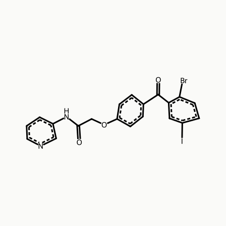 O=C(COc1ccc(C(=O)c2cc(I)ccc2Br)cc1)Nc1cccnc1